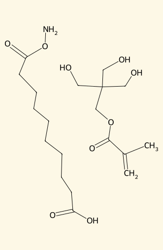 C=C(C)C(=O)OCC(CO)(CO)CO.NOC(=O)CCCCCCCCC(=O)O